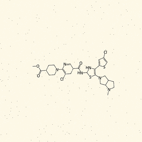 COC(=O)C1CCN(C2=C(Cl)CC(C(=O)NC3NC(c4cc(Cl)cs4)=C(N4CC5CCN(C)C5C4)S3)C=N2)CC1